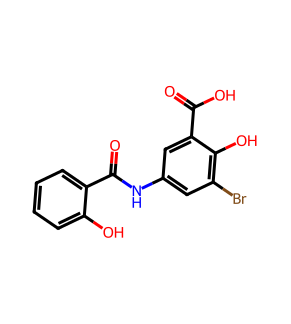 O=C(Nc1cc(Br)c(O)c(C(=O)O)c1)c1ccccc1O